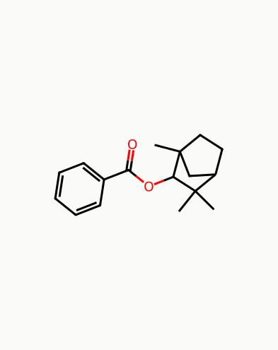 CC12CCC(C1)C(C)(C)C2OC(=O)c1ccccc1